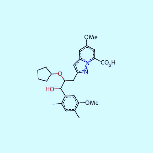 COc1cc(C(=O)O)n2nc(CC(OC3CCCC3)C(O)c3cc(OC)c(C)cc3C)cc2c1